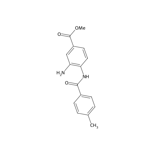 COC(=O)c1ccc(NC(=O)c2ccc(C)cc2)c(N)c1